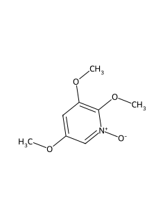 COc1cc(OC)c(OC)[n+]([O-])c1